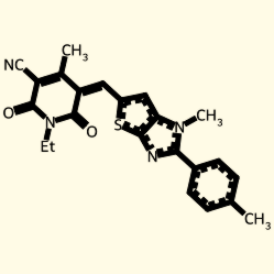 CCN1C(=O)C(C#N)=C(C)/C(=C/c2cc3c(nc(-c4ccc(C)cc4)n3C)s2)C1=O